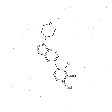 CCCCn1ccc(-c2ccc3c(ccn3C3CCOCC3)c2)c(Cl)c1=O